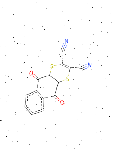 N#CC1=C(C#N)SC2C(=O)c3ccccc3C(=O)C2S1